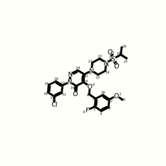 COc1ccc(F)c(COc2c(N3CCN(S(=O)(=O)C(C)C)CC3)cnn(-c3cccc(Cl)c3)c2=O)c1